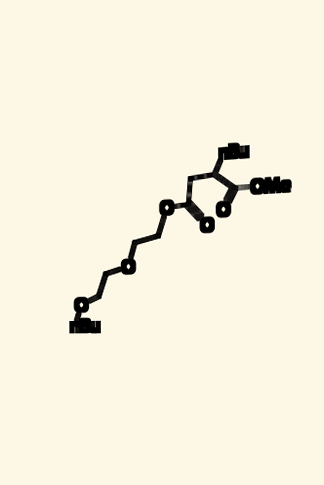 CCCCOCCOCCOC(=O)CC(CCCC)C(=O)OC